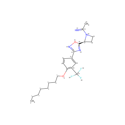 CCCCCCCCOc1ccc(-c2noc([C@@H]3CCN3C(C)=N)n2)cc1C(F)(F)F